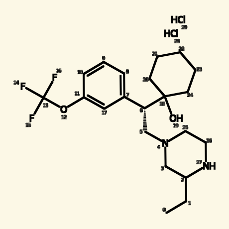 CCC1CN(C[C@H](c2cccc(OC(F)(F)F)c2)C2(O)CCCCC2)CCN1.Cl.Cl